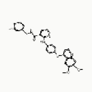 COc1cc2nccc(Oc3ccc(Nc4ncccc4C(=O)NCc4cccc(C)c4)cc3)c2cc1OC